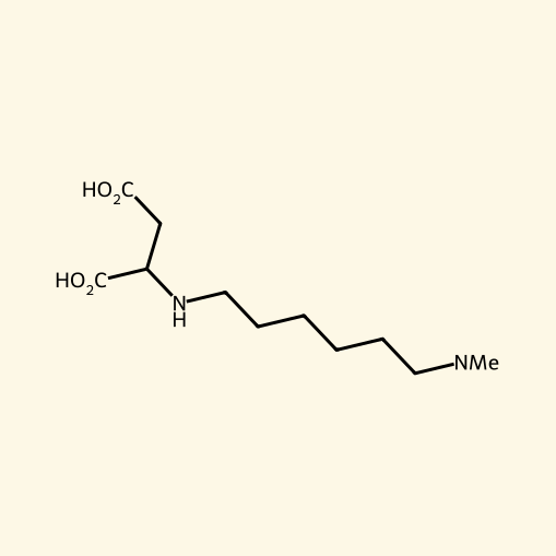 CNCCCCCCNC(CC(=O)O)C(=O)O